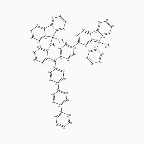 CC1(C)c2ccccc2-c2cccc(-c3cccc(N(c4ccc(-c5ccc(-c6ccccc6)cc5)cc4)c4ccc(-c5ccc6c(c5)C(C)(c5ccccc5)c5ccccc5-6)cc4)c3)c21